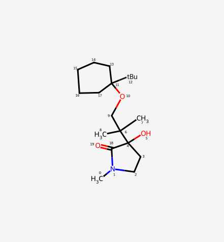 CN1CCC(O)(C(C)(C)COC2(C(C)(C)C)CCCCC2)C1=O